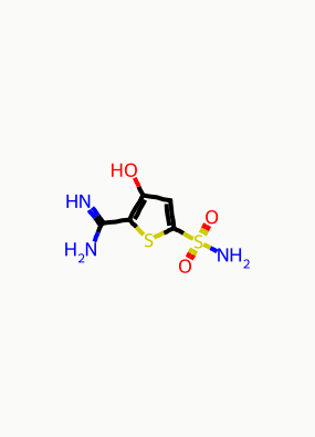 N=C(N)c1sc(S(N)(=O)=O)cc1O